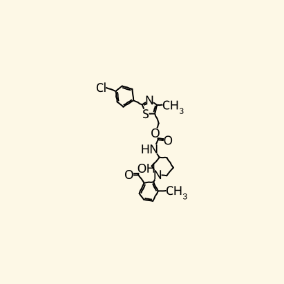 Cc1cccc(C(=O)O)c1N1CCCC(NC(=O)OCc2sc(-c3ccc(Cl)cc3)nc2C)C1